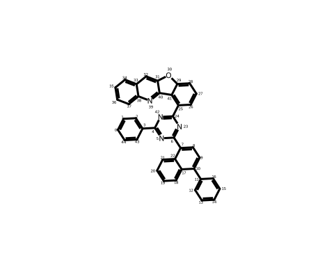 c1ccc(-c2nc(-c3ccc(-c4ccccc4)c4ccccc34)nc(-c3cccc4oc5cc6ccccc6nc5c34)n2)cc1